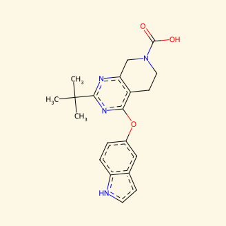 CC(C)(C)c1nc2c(c(Oc3ccc4[nH]ccc4c3)n1)CCN(C(=O)O)C2